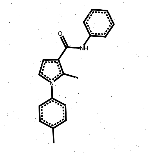 Cc1ccc(-n2ccc(C(=O)Nc3ccccc3)c2C)cc1